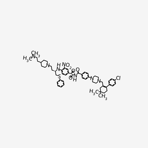 CN(C)CCC1CCN(CC[C@H](CSc2ccccc2)Nc2ccc(S(=O)(=O)NC(=O)c3ccc(N4CCN(CC5=C(c6ccc(Cl)cc6)CCC(C)(C)C5)CC4)cc3)cc2[N+](=O)[O-])CC1